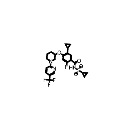 O=C(NS(=O)(=O)C1CC1)c1cc(C2CC2)c(OC2CCCN(c3ccc(C(F)(F)F)cn3)C2)cc1F